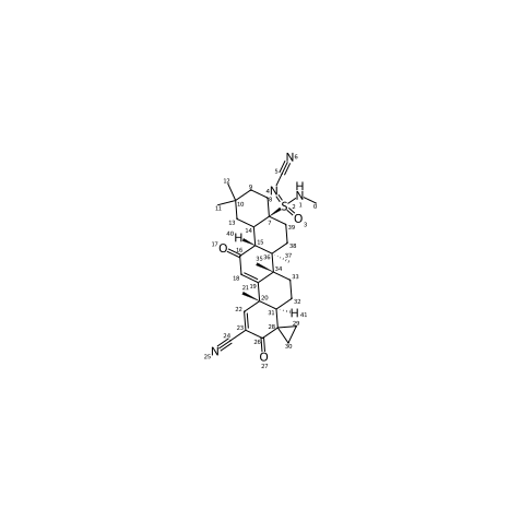 CNS(=O)(=NC#N)[C@]12CCC(C)(C)CC1[C@H]1C(=O)C=C3[C@@]4(C)C=C(C#N)C(=O)C5(CC5)[C@@H]4CC[C@@]3(C)[C@]1(C)CC2